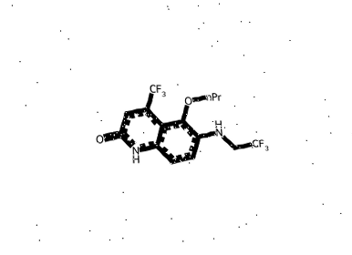 CCCOc1c(NCC(F)(F)F)ccc2[nH]c(=O)cc(C(F)(F)F)c12